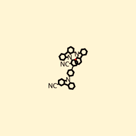 N#Cc1ccc2c(c1)c1ccccc1n2-c1ccc(-c2cccc(-n3c4ccccc4c4cccc(-n5c6ccccc6c6ccccc65)c43)c2C#N)cc1